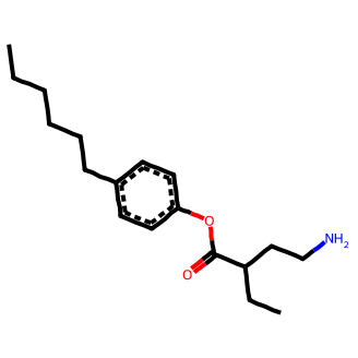 CCCCCCc1ccc(OC(=O)C(CC)CCN)cc1